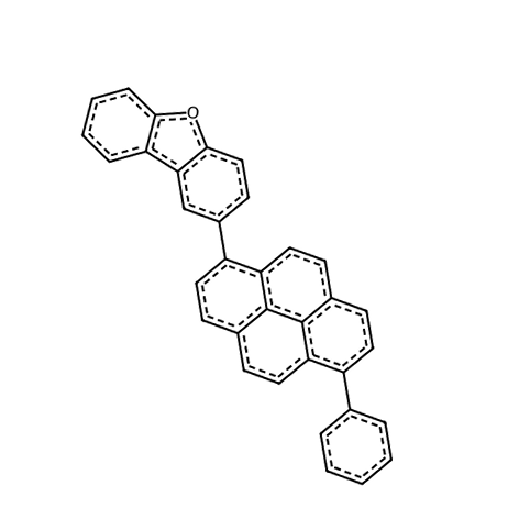 c1ccc(-c2ccc3ccc4c(-c5ccc6oc7ccccc7c6c5)ccc5ccc2c3c54)cc1